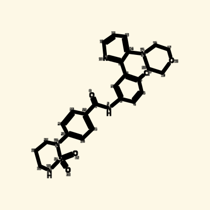 O=C(Nc1ccc(Cl)c(-c2ncccc2N2CCOCC2)c1)c1ccc(N2CCCNS2(=O)=O)cc1